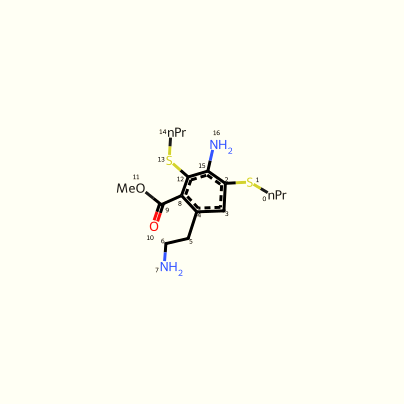 CCCSc1cc(CCN)c(C(=O)OC)c(SCCC)c1N